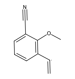 C=[C]c1cccc(C#N)c1OC